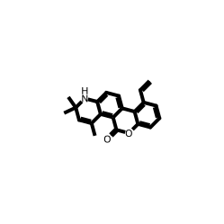 C=Cc1cccc2oc(=O)c3c4c(ccc3c12)NC(C)(C)C=C4C